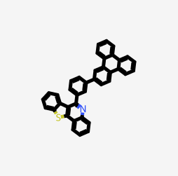 c1cc(-c2ccc3c4ccccc4c4ccccc4c3c2)cc(-c2nc3ccccc3c3sc4ccccc4c23)c1